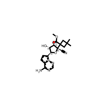 COC(=O)C1([C@]2(C#N)O[C@@H](c3ccc4c(N)ncnn34)[C@H](O)[C@@H]2O)CC(C)(C)C1